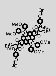 CCCN(C(=O)C(CCOCC)N1C(=O)c2cc(Oc3cccc(OC)c3)c3c4c(Oc5cccc(OC)c5)cc5c6c(cc(Oc7cccc(OC)c7)c(c7c(Oc8cccc(OC)c8)cc(c2c37)C1=O)c64)C(=O)N(C(CCOCC)C(=O)N(CCC)c1ccc(OCC2CO2)cc1)C5=O)c1ccc(OCC2CO2)cc1